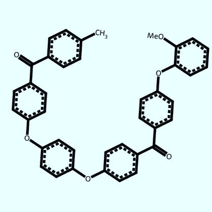 COc1ccccc1Oc1ccc(C(=O)c2ccc(Oc3ccc(Oc4ccc(C(=O)c5ccc(C)cc5)cc4)cc3)cc2)cc1